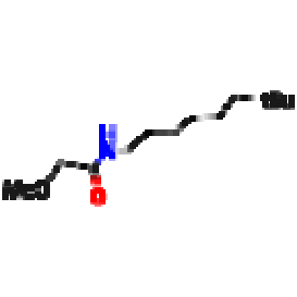 COCC(=O)NCCCCCCC(C)(C)C